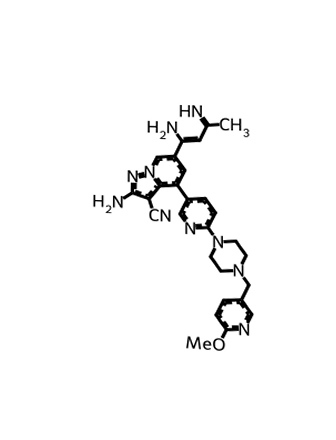 COc1ccc(CN2CCN(c3ccc(-c4cc(/C(N)=C/C(C)=N)cn5nc(N)c(C#N)c45)cn3)CC2)cn1